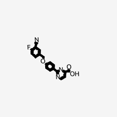 N#Cc1cc(COc2ccc(-c3nccc(C(=O)O)n3)cc2)ccc1F